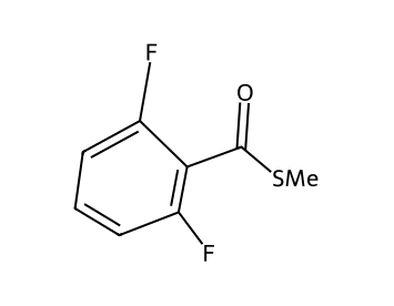 CSC(=O)c1c(F)cccc1F